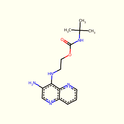 CC(C)(C)NC(=O)OCCNc1c(N)cnc2cccnc12